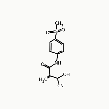 C=C(C(=O)Nc1ccc(S(C)(=O)=O)cc1)C(O)C#N